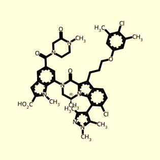 Cc1cc(OCCCc2c3n(c4c(-c5c(C)nn(C)c5C)c(Cl)ccc24)[C@H](C)CN(c2cc(C(=O)N4CCN(C)C(=O)C4)cc4cc(C(=O)O)n(C)c24)C3=O)cc(C)c1Cl